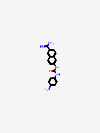 N=C(N)c1ccc2cc(NC(=O)Nc3ccc(N)cc3)ccc2c1